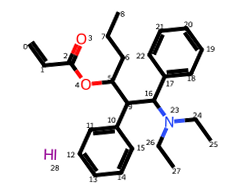 C=CC(=O)OC(CCC)C(c1ccccc1)C(c1ccccc1)N(CC)CC.I